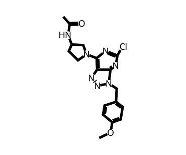 COc1ccc(Cn2nnc3c(N4CCC(NC(C)=O)C4)nc(Cl)nc32)cc1